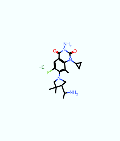 Cc1c(N2CC(C(C)N)C(C)(C)C2)c(F)cc2c(=O)n(N)c(=O)n(C3CC3)c12.Cl